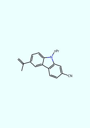 C=C(C)c1ccc2c(c1)c1ccc(C#N)cc1n2CCC